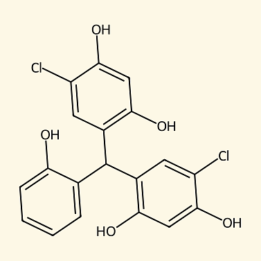 Oc1cc(O)c(C(c2ccccc2O)c2cc(Cl)c(O)cc2O)cc1Cl